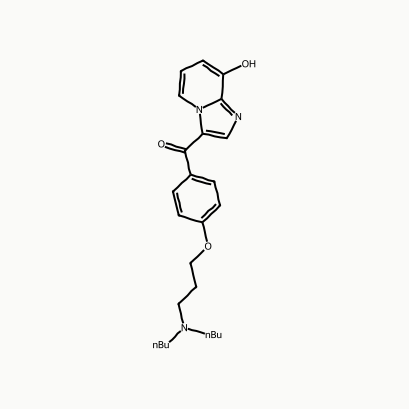 CCCCN(CCCC)CCCOc1ccc(C(=O)c2cnc3c(O)cccn23)cc1